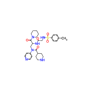 Cc1ccc(S(=O)(=O)NCC(=O)NC(CN(C(=O)C2CCNCC2)c2ccncc2)C(=O)N2CCCCC2)cc1